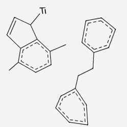 Cc1ccc(C)c2c1C=C[CH]2[Ti].c1ccc(CCc2ccccc2)cc1